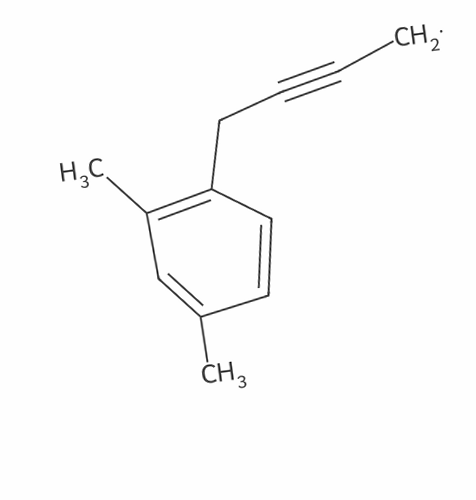 [CH2]C#CCc1ccc(C)cc1C